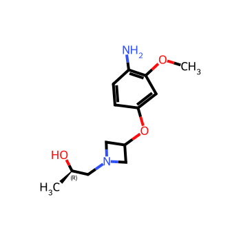 COc1cc(OC2CN(C[C@@H](C)O)C2)ccc1N